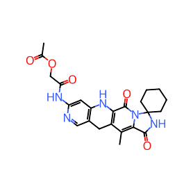 CC(=O)OCC(=O)Nc1cc2c(cn1)Cc1c(C)c3n(c(=O)c1N2)C1(CCCCC1)NC3=O